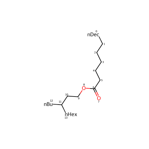 CCCCCCCCCCCCCCCC(=O)OCCC(CCCC)CCCCCC